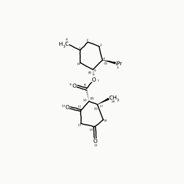 CC1CC[C@@H](C(C)C)[C@H](OC(=O)[C@H]2C(=O)CC(=O)C[C@@H]2C)C1